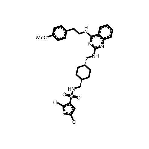 COc1ccc(CCNc2nc(NC[C@H]3CC[C@H](CNS(=O)(=O)c4cc(Cl)sc4Cl)CC3)nc3ccccc23)cc1